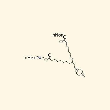 CCCCCC/C=C/COC(=O)CCCCCCCC(CCCCCCCC(=O)OCCCCCCCCC)CCN1CCN(C)CC1